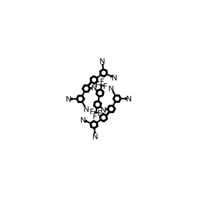 N#Cc1cc(C#N)cc(-c2ccc3c4ccc(-c5cc(C#N)cc(C#N)c5)cc4n(-c4cc(-c5ccc(C(F)(F)F)c(-n6c7cc(-c8cc(C#N)cc(C#N)c8)ccc7c7ccc(-c8cc(C#N)cc(C#N)c8)cc76)c5)ccc4C(F)(F)F)c3c2)c1